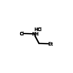 CCCNCl.Cl